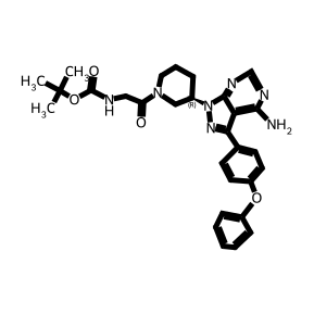 CC(C)(C)OC(=O)NCC(=O)N1CCC[C@@H](n2nc(-c3ccc(Oc4ccccc4)cc3)c3c(N)ncnc32)C1